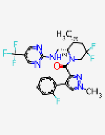 C[C@@H]1CC(F)(F)CN(C(=O)c2nn(C)cc2-c2ccccc2F)[C@@H]1CNc1ncc(C(F)(F)F)cn1